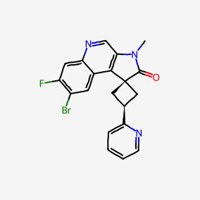 CN1c2cnc3cc(F)c(Br)cc3c2[C@]2(C[C@H](c3ccccn3)C2)C1=O